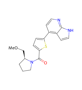 COC[C@@H]1CCCN1C(=O)c1ccc(-c2ccnc3[nH]ccc23)s1